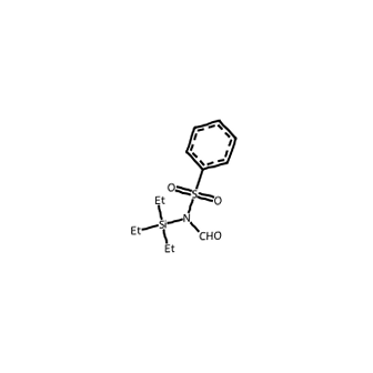 CC[Si](CC)(CC)N(C=O)S(=O)(=O)c1ccccc1